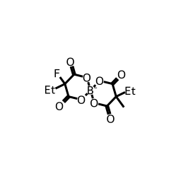 CCC1(C)C(=O)O[B-]2(OC1=O)OC(=O)C(F)(CC)C(=O)O2